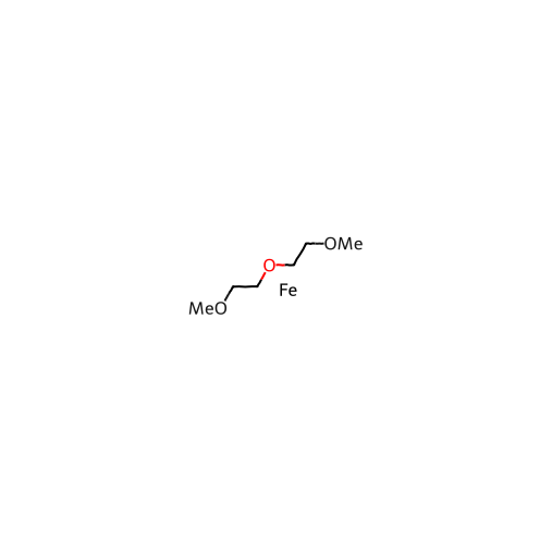 COCCOCCOC.[Fe]